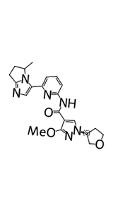 COc1nn([C@H]2CCOC2)cc1C(=O)Nc1cccc(-c2cnc3n2C(C)CC3)n1